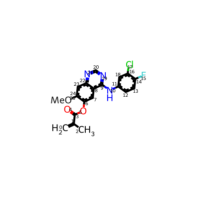 C=C(C)C(=O)Oc1cc2c(Nc3ccc(F)c(Cl)c3)ncnc2cc1OC